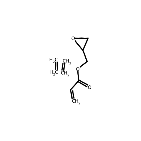 C=C.C=C.C=CC(=O)OCC1CO1